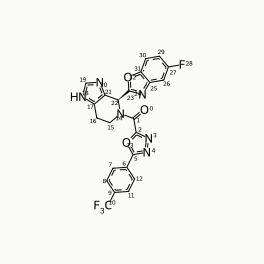 O=C(c1nnc(-c2ccc(C(F)(F)F)cc2)o1)N1CCc2[nH]cnc2[C@H]1c1nc2cc(F)ccc2o1